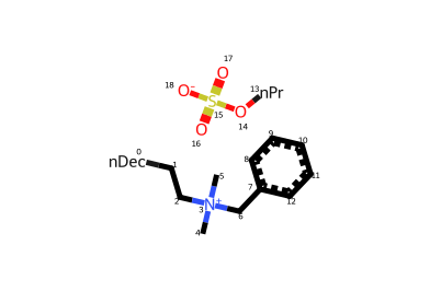 CCCCCCCCCCCC[N+](C)(C)Cc1ccccc1.CCCOS(=O)(=O)[O-]